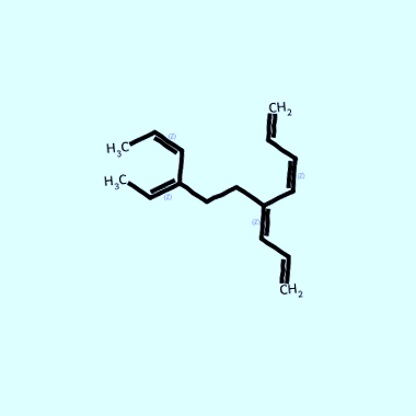 C=C/C=C\C(=C/C=C)CCC(/C=C\C)=C/C